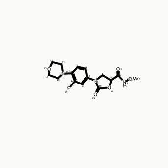 CONC(=O)C1CN(c2ccc(N3CCOCC3)c(F)c2)C(=O)O1